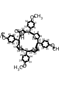 COc1ccc(C2=C3C=CC(=N3)C(c3ccc(OC)cc3)=c3ccc([nH]3)=C(c3ccc(OC)cc3)C3=NC(=C(c4ccc(OC)cc4)C4NC2=CC4=O)C=C3)cc1